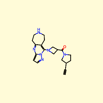 C#CC1CCN(C(=O)C2CN(c3c4c(nc5ccnn35)CCNCC4)C2)C1